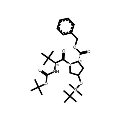 CC(C)(C)OC(=O)N[C@H](C(=O)N1CC(O[Si](C)(C)C(C)(C)C)C[C@H]1C(=O)OCc1ccccc1)C(C)(C)C